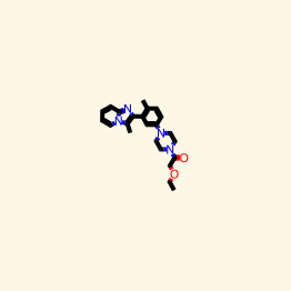 CCOCC(=O)N1CCN(c2ccc(C)c(-c3nc4ccccn4c3C)c2)CC1